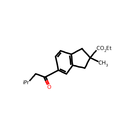 CCOC(=O)C1(C)Cc2ccc(C(=O)CC(C)C)cc2C1